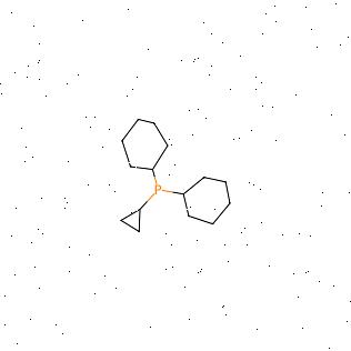 C1CCC(P(C2CCCCC2)C2CC2)CC1